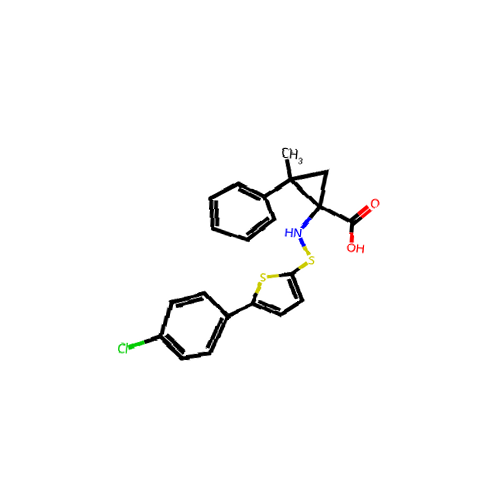 CC1(c2ccccc2)CC1(NSc1ccc(-c2ccc(Cl)cc2)s1)C(=O)O